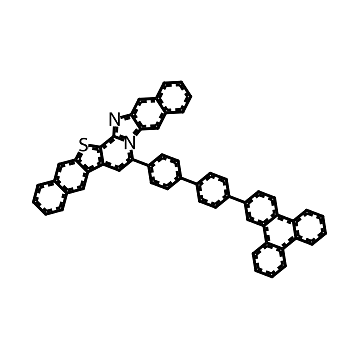 c1ccc2cc3c(cc2c1)nc1c2sc4cc5ccccc5cc4c2cc(-c2ccc(-c4ccc(-c5ccc6c7ccccc7c7ccccc7c6c5)cc4)cc2)n31